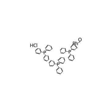 Cl.O=[CH][Rh].c1ccc(P(c2ccccc2)c2ccccc2)cc1.c1ccc(P(c2ccccc2)c2ccccc2)cc1.c1ccc(P(c2ccccc2)c2ccccc2)cc1